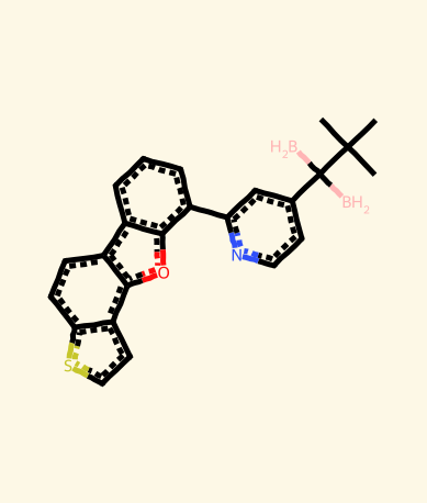 BC(B)(c1ccnc(-c2cccc3c2oc2c4ccsc4ccc32)c1)C(C)(C)C